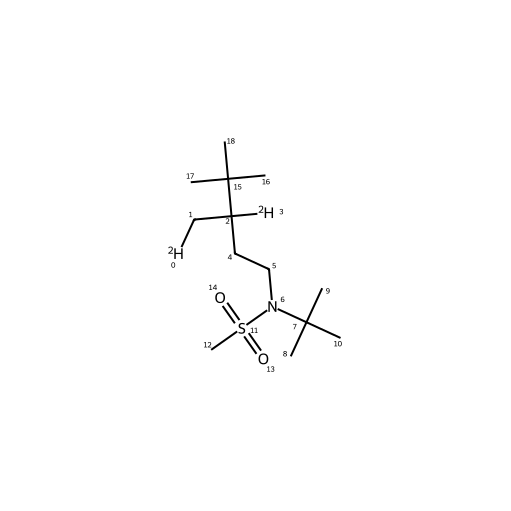 [2H]CC([2H])(CCN(C(C)(C)C)S(C)(=O)=O)C(C)(C)C